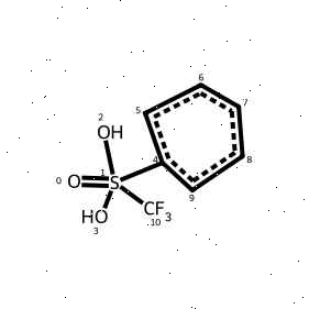 O=S(O)(O)(c1ccccc1)C(F)(F)F